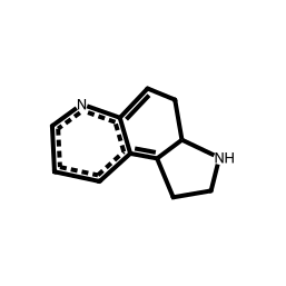 C1=c2ncccc2=C2CCNC2C1